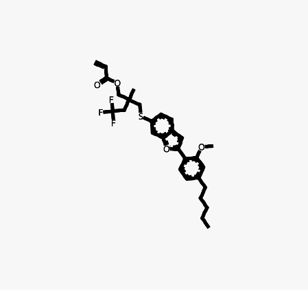 C=CC(=O)OCC(C)(CSc1ccc2cc(-c3ccc(CCCCC)cc3OC)oc2c1)CC(F)(F)F